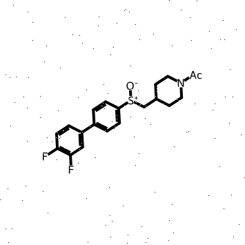 CC(=O)N1CCC(C[S+]([O-])c2ccc(-c3ccc(F)c(F)c3)cc2)CC1